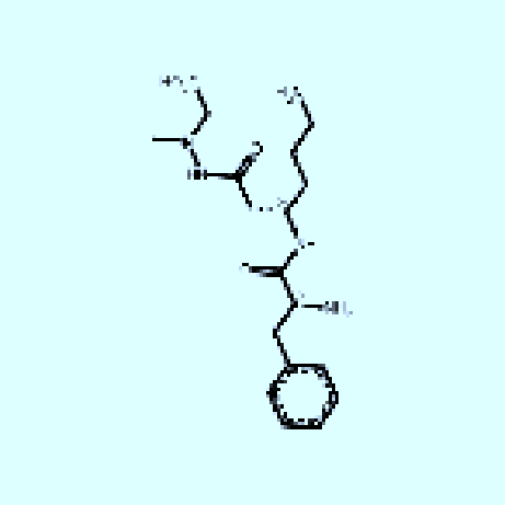 CN(CC(=O)O)NC(=O)C[C@H](CCCN)NC(=O)[C@@H](N)Cc1ccccc1